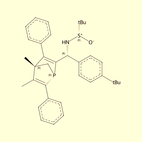 CC1=C(c2ccccc2)[P@]2C[C@@]1(C)C(c1ccccc1)=C2[C@H](N[S@@+]([O-])C(C)(C)C)c1ccc(C(C)(C)C)cc1